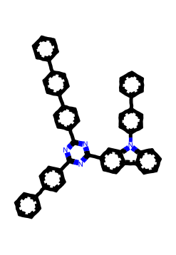 c1ccc(-c2ccc(-c3ccc(-c4nc(-c5ccc(-c6ccccc6)cc5)nc(-c5ccc6c7ccccc7n(-c7ccc(-c8ccccc8)cc7)c6c5)n4)cc3)cc2)cc1